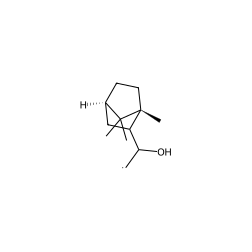 [CH2]C(O)C1C[C@H]2CC[C@@]1(C)C2(C)C